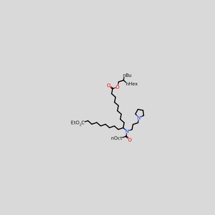 CCCCCCCCC(=O)N(CCCN1CCCC1)C(CCCCCCCCC(=O)OCC)CCCCCCCCC(=O)OCC(CCCC)CCCCCC